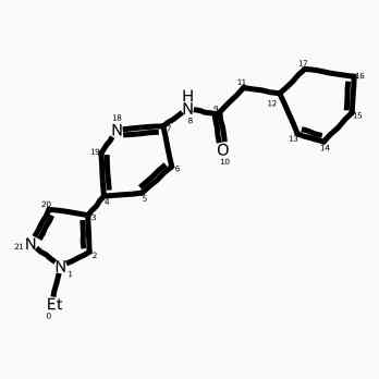 CCn1cc(-c2ccc(NC(=O)CC3C=CC=CC3)nc2)cn1